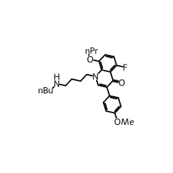 CCCCNCCCCn1cc(-c2ccc(OC)cc2)c(=O)c2c(F)ccc(OCCC)c21